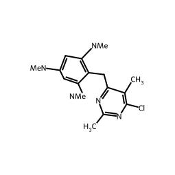 CNc1cc(NC)c(Cc2nc(C)nc(Cl)c2C)c(NC)c1